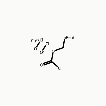 CCCCCCOC(=O)Cl.[Ca+2].[O-]Cl.[O-]Cl